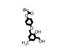 CCC(C)C(=O)Oc1ccc(OCc2cc(C)cc(CO)c2O)cc1